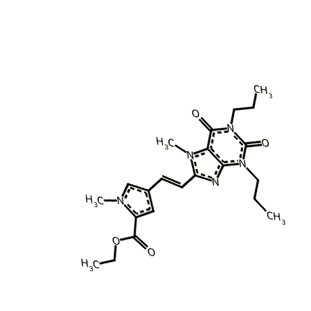 CCCn1c(=O)c2c(nc(/C=C/c3cc(C(=O)OCC)n(C)c3)n2C)n(CCC)c1=O